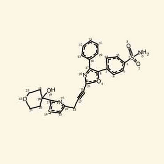 NS(=O)(=O)c1ccc(-c2oc(C#CCc3csc(C4(O)CCOCC4)n3)nc2-c2ccccc2)cc1